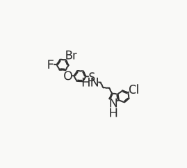 Fc1cc(Br)cc(Oc2ccc(SNCCCc3c[nH]c4ccc(Cl)cc34)cc2)c1